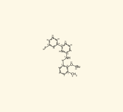 Cc1cccc(CNc2ccnc(-c3cncc(F)c3)n2)c1OC(C)(C)C